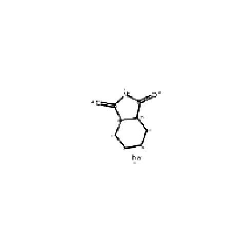 O=C1[N-]C(=O)C2CCCCC12.[Na+]